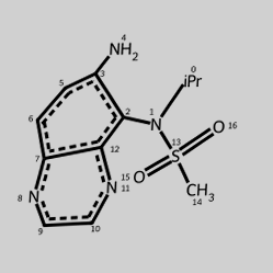 CC(C)N(c1c(N)ccc2nccnc12)S(C)(=O)=O